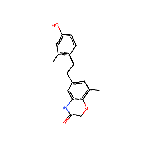 Cc1cc(O)ccc1CCc1cc(C)c2c(c1)NC(=O)CO2